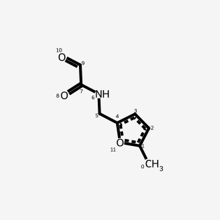 Cc1ccc(CNC(=O)C=O)o1